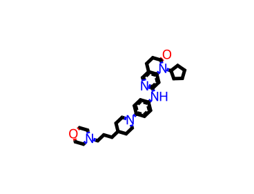 O=C1CCc2cnc(Nc3ccc(N4CCC(CCCN5CCOCC5)CC4)cc3)cc2N1C1CCCC1